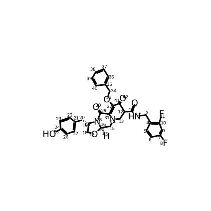 O=C(NCc1ccc(F)cc1F)C1CN2C[C@H]3OC[C@H](Cc4ccc(O)cc4)N3C(=O)C2=C(OCc2ccccc2)C1=O